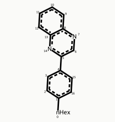 CCCCCCc1ccc(-c2cnc3ccccc3n2)cc1